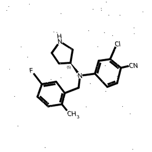 Cc1ccc(F)cc1CN(c1ccc(C#N)c(Cl)c1)[C@H]1CCNC1